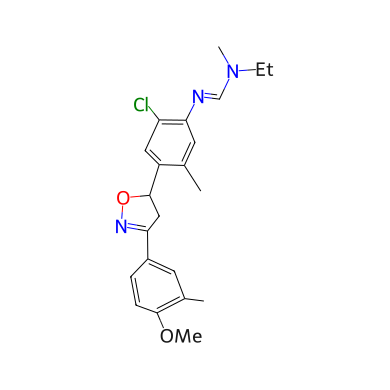 CCN(C)C=Nc1cc(C)c(C2CC(c3ccc(OC)c(C)c3)=NO2)cc1Cl